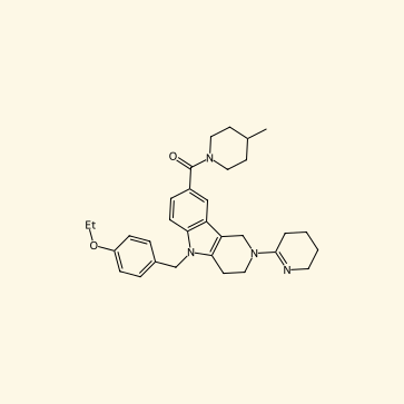 CCOc1ccc(Cn2c3c(c4cc(C(=O)N5CCC(C)CC5)ccc42)CN(C2=NCCCC2)CC3)cc1